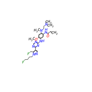 C=CC(=O)Nc1cc(Nc2ncnc(-c3cnn(CCCCF)c3CF)n2)c(OC)cc1N(C)CCN(C)C